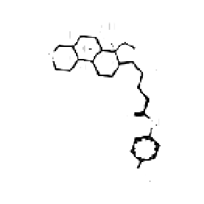 C[C@H](CCC(=O)Nc1ccc(C(=O)O)cc1)[C@H]1CC[C@H]2[C@@H]3[C@@H](O)C[C@@H]4CNCC[C@]4(C)[C@H]3CC[C@]12C